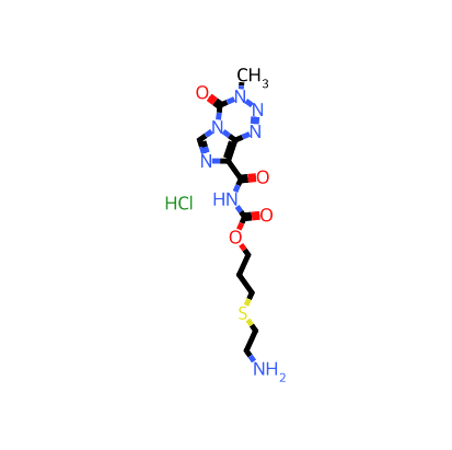 Cl.Cn1nnc2c(C(=O)NC(=O)OCCCSCCN)ncn2c1=O